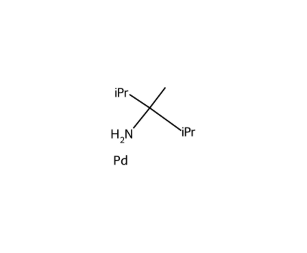 CC(C)C(C)(N)C(C)C.[Pd]